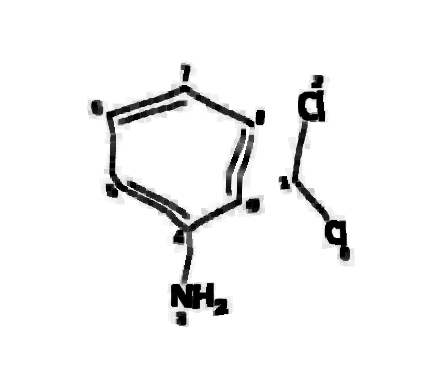 ClCCl.Nc1ccccc1